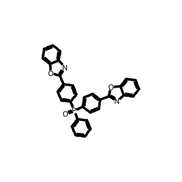 O=P(c1ccccc1)(c1ccc(-c2nc3ccccc3o2)cc1)c1ccc(-c2nc3ccccc3o2)cc1